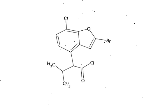 CC(C)C(C(=O)Cl)c1ccc(Cl)c2oc(Br)cc12